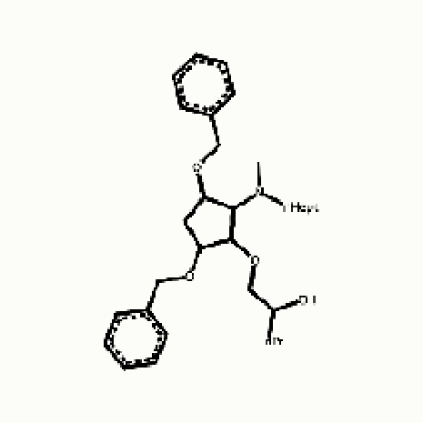 CCCCCCCN(C)C1C(OCc2ccccc2)CC(OCc2ccccc2)C1OCC(O)CCC